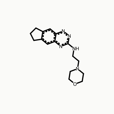 c1c2c(cc3nc(NCCN4CCOCC4)nnc13)CCC2